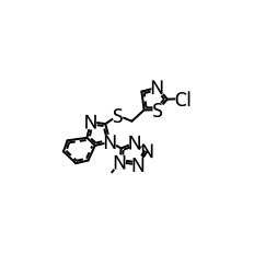 Cn1nnnc1-n1c(SCc2cnc(Cl)s2)nc2ccccc21